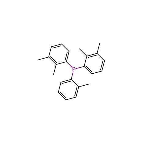 Cc1ccccc1P(c1cccc(C)c1C)c1cccc(C)c1C